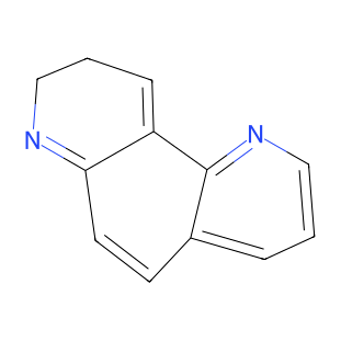 C1=c2c(ccc3cccnc23)=NCC1